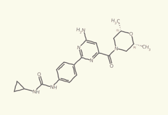 C[C@@H]1CN(C(=O)c2cc(N)nc(-c3ccc(NC(=O)NC4CC4)cc3)n2)C[C@H](C)O1